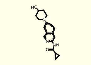 O=C(Nc1cc2ccc(N3CCC(O)CC3)cc2cn1)C1CC1